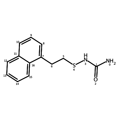 NC(=O)NSCCc1cccc2ccccc12